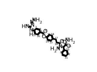 N=C(N=NN)Nc1ccc(C(=O)Oc2ccc(CCC(=O)N(N)[C@H](C(=O)ON)c3ccccc3)cc2)cc1